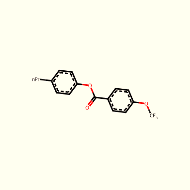 CCCc1ccc(OC(=O)c2ccc(OC(F)(F)F)cc2)cc1